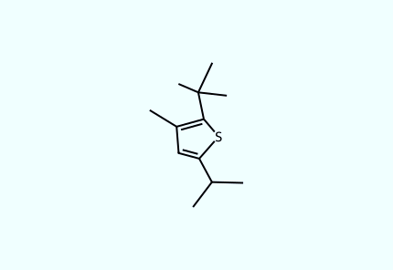 Cc1cc(C(C)C)sc1C(C)(C)C